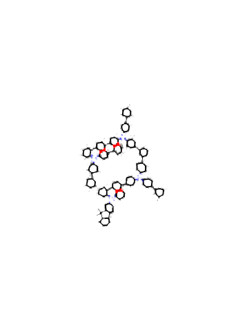 CC1(C)c2ccccc2-c2ccc(N(c3ccccc3)c3ccccc3-c3ccc(-c4ccc(N(c5ccc(-c6ccccc6)cc5)c5ccc(-c6cccc(-c7ccc(N(c8ccc(-c9ccccc9)cc8)c8ccc(-c9ccc(-c%10ccccc%10N(c%10ccc(-c%11ccccc%11)cc%10)c%10ccc(-c%11ccccc%11)cc%10)cc9)cc8)cc7)c6)cc5)cc4)cc3)cc21